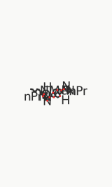 C=C/C=C\C=C/CC(NC)C(=O)N(CCC)Cc1ncc(C2C=C3CCc4cc(-c5cnc(CN(C)CCC)[nH]5)cc5c4C3=C(CC5)C2)[nH]1